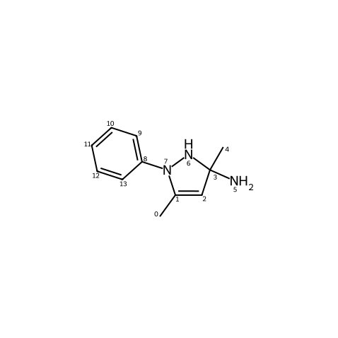 CC1=CC(C)(N)NN1c1ccccc1